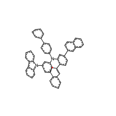 C1=C(c2ccc(-c3ccc4ccccc4c3)cc2N(c2ccc(-c3ccccc3)cc2)c2cccc(-n3c4ccccc4c4ccccc43)c2)CCc2ccccc21